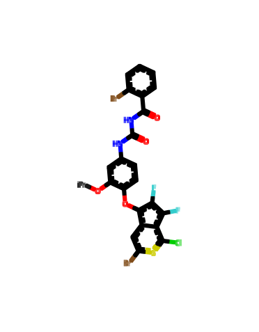 CC(C)Oc1cc(NC(=O)NC(=O)c2ccccc2Br)ccc1Oc1c2cc(Br)sc(Cl)c-2c(F)c1F